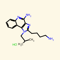 CC(C)Cn1c(CCCCN)nc2c(N)nc3ccccc3c21.Cl